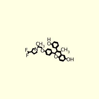 CC1=C(c2cccc(O)c2)C(c2ccc(OCC(C)N3CCC(C(F)F)C3)cc2)Oc2ccc(O)cc21